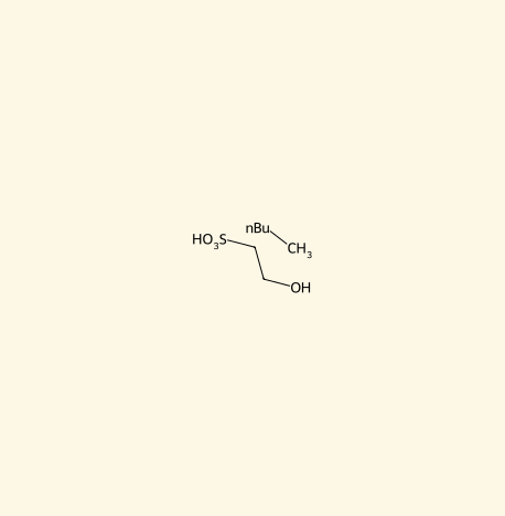 CCCCC.O=S(=O)(O)CCO